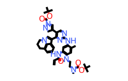 C=CC(=O)Nc1cc(Nc2ncc(-c3cnn(C(=O)OC(C)(C)C)c3)c(-c3cn4c5c(cccc35)CCC4)n2)c(C)cc1N(C)CCN(C)C(=O)OC(C)(C)C